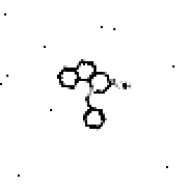 O[C@@H]1Cc2ccc3ccccc3c2N(Cc2ccccc2)C1